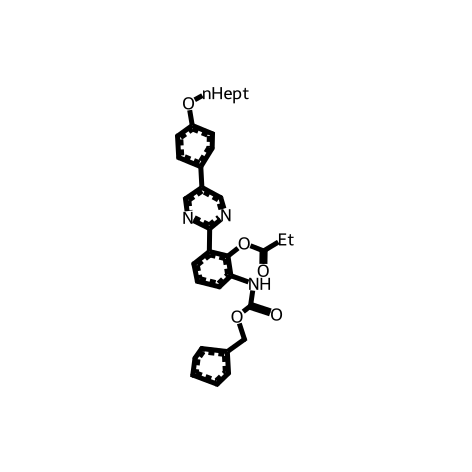 CCCCCCCOc1ccc(-c2cnc(-c3cccc(NC(=O)OCc4ccccc4)c3OC(=O)CC)nc2)cc1